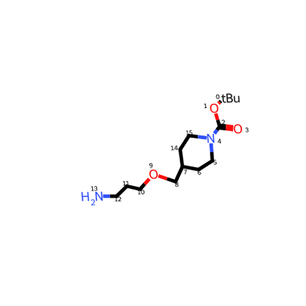 CC(C)(C)OC(=O)N1CCC(COCCCN)CC1